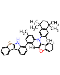 Cc1cc(-c2cccc3c2[nH]c2sc4ccccc4c23)c2c(c1)N(c1cc3c(cc1C)C(C)(C)CCC3(C)C)c1c(oc3ccccc13)B2